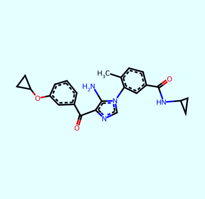 Cc1ccc(C(=O)NC2CC2)cc1-n1cnc(C(=O)c2cccc(OC3CC3)c2)c1N